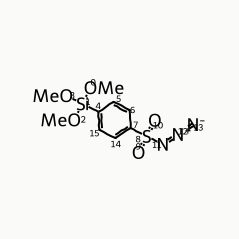 CO[Si](OC)(OC)c1ccc(S(=O)(=O)N=[N+]=[N-])cc1